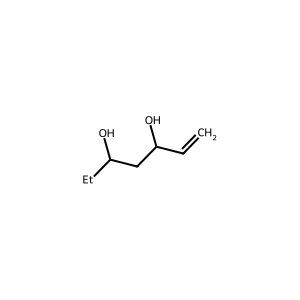 C=CC(O)CC(O)CC